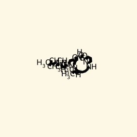 CC(C)(C)CC[Si](C)(C)c1ccn(-c2ccc3c(n2)N2C[C@@H](CCCNc4cccc(n4)S(=O)(=O)NC3=O)CC2(C)C)n1